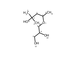 CC(CC(C)(C)O)OCC(O)CO